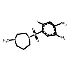 CN1CCCN(S(=O)(=O)c2cc(N)c(N)cc2F)CC1